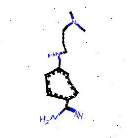 CN(C)CCNc1ccc(C(=N)N)cc1